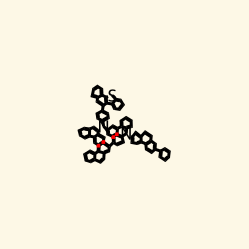 c1ccc(-c2ccc3c(ccc4cc(N(c5ccc(-c6ccc7c(ccc8ccccc87)c6)cc5)c5ccccc5-c5cccc(N(c6ccc(-c7cc8ccccc8c8sc9ccccc9c78)cc6)c6cc7ccccc7c7ccccc67)c5)ccc43)c2)cc1